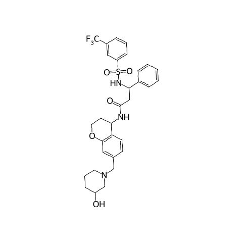 O=C(CC(NS(=O)(=O)c1cccc(C(F)(F)F)c1)c1ccccc1)NC1CCOc2cc(CN3CCCC(O)C3)ccc21